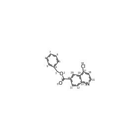 O=C(OCc1ccccc1)c1ccc2nccc(Cl)c2c1